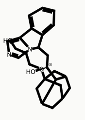 OCCCOC12CC3CC(C1)C([C@@H](O)CC1c4ccccc4-c4cncn41)C(C3)C2